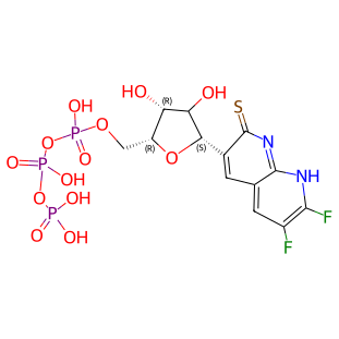 O=P(O)(O)OP(=O)(O)OP(=O)(O)OC[C@H]1O[C@@H](c2cc3cc(F)c(F)[nH]c-3nc2=S)C(O)[C@H]1O